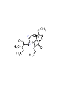 C=CCn1c(=O)c2cnc(SC)nc2n1C(/C=C\C)=N/N(C=O)C(C)CC